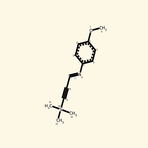 COc1ccc(/N=C/C#C[Si](C)(C)C)cc1